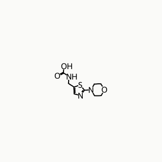 O=C(O)NCc1cnc(N2CCOCC2)s1